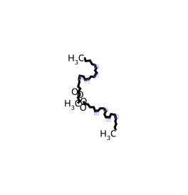 CCCCC/C=C\C/C=C\C/C=C\C/C=C\CCCC(=O)OCC(C)OC(=O)CCC/C=C\C/C=C\C/C=C\C/C=C\CCCCC